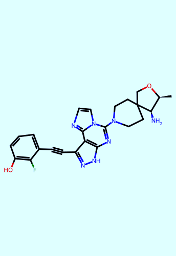 C[C@@H]1OCC2(CCN(c3nc4[nH]nc(C#Cc5cccc(O)c5F)c4c4nccn34)CC2)[C@@H]1N